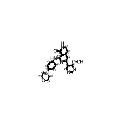 COc1ncncc1-c1cc2cc[nH]c(=O)c2c(Nc2ccc(N3CCOCC3)cc2)n1